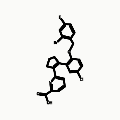 O=C(O)c1cccc(C2=C(c3cc(Cl)ccc3OCc3ccc(F)cc3Br)CCC2)n1